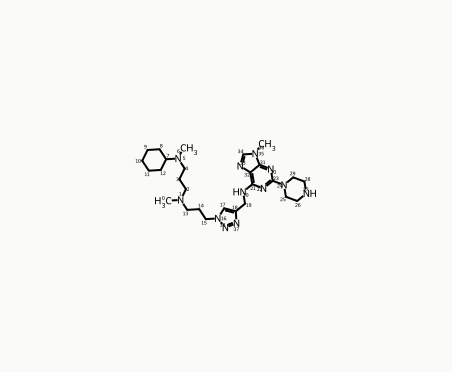 CN(CCCN(C)C1CCCCC1)CCCn1cc(CNc2nc(N3CCNCC3)nc3c2ncn3C)nn1